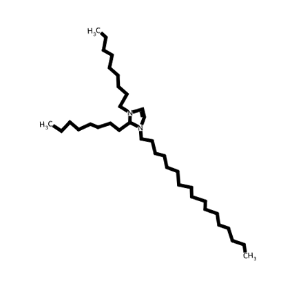 CCCCCCCCCCCCCCCCCN1C=CN(CCCCCCCCC)C1CCCCCCCC